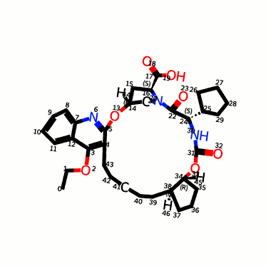 CCOc1c2c(nc3ccccc13)O[C@@H]1C[C@@H](C(=O)O)N(C1)C(=O)[C@H](C1CCCC1)NC(=O)O[C@@H]1CCC[C@H]1CCCCC2